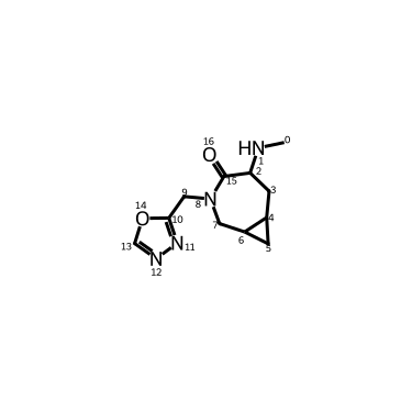 CNC1CC2CC2CN(Cc2nnco2)C1=O